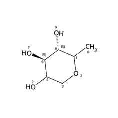 CC1OCC(O)[C@@H](O)[C@@H]1O